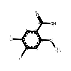 COc1cc(I)c(Cl)cc1C(=O)O